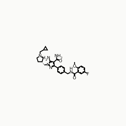 COc1ccc(F)cc1C(=O)NCc1ccc(-c2nn(C[C@@H]3CCN(CC4CC4)C3)c(N)c2C(N)=O)cc1